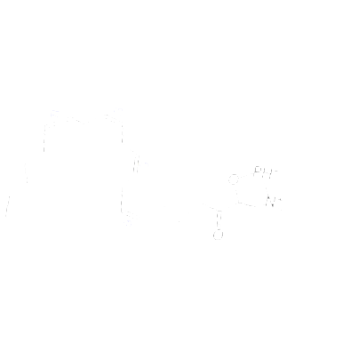 CCCCC/C=C\C/C=C\C/C=C\C/C=C\CCCC(=O)C(C[N+](C)(C)C)O[PH-]